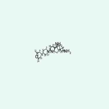 Cc1nc(N2CCC(C3CC(C)OC(C)C3)CC2)ccc1C1(N)CC2(CC(N)C2)C1